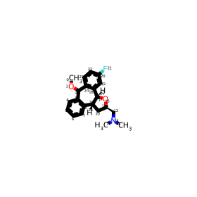 COC1c2ccccc2[C@H]2C[C@H](CN(C)C)O[C@@H]2c2cc(F)ccc21